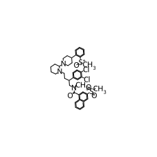 CN(CC(CCN1CCCCC1N1CCC(c2ccccc2[S+](C)[O-])CC1)c1ccc(Cl)c(Cl)c1)C(=O)c1cc(S(C)(=O)=O)cc2ccccc12